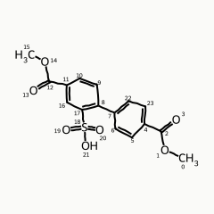 COC(=O)c1ccc(-c2ccc(C(=O)OC)cc2S(=O)(=O)O)cc1